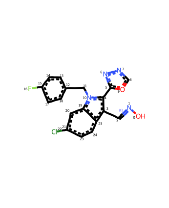 O/N=C/c1c(-c2nnco2)n(Cc2ccc(F)cc2)c2cc(Cl)ccc12